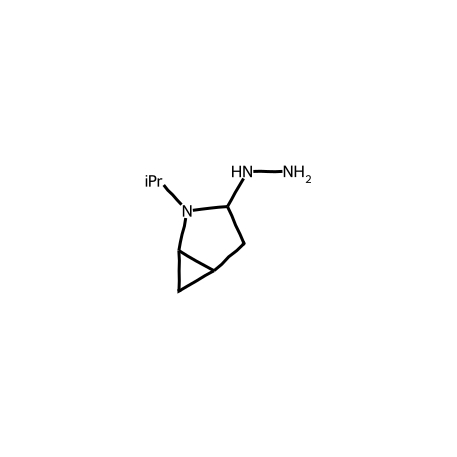 CC(C)N1C(NN)CC2CC21